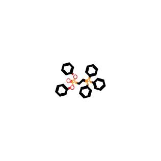 O=P(CC=P(c1ccccc1)(c1ccccc1)c1ccccc1)(Oc1ccccc1)Oc1ccccc1